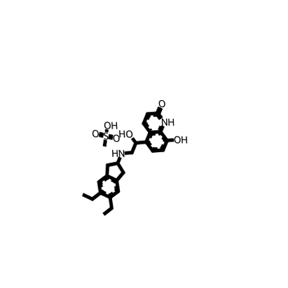 CCc1cc2c(cc1CC)CC(NCC(O)c1ccc(O)c3[nH]c(=O)ccc13)C2.CS(=O)(=O)O